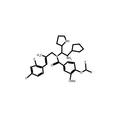 COc1cc(C(=O)N(CC(C)=Cc2ccc(F)cc2F)C(C2CCCN2)C(N)C2CCCC2)ccc1OC(F)F